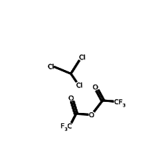 ClC(Cl)Cl.O=C(OC(=O)C(F)(F)F)C(F)(F)F